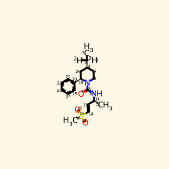 [2H]C([2H])(C)[C@H]1CCN(C(=O)N[C@@H](C)/C=C/S(C)(=O)=O)[C@@H](c2ccccc2)C1